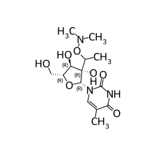 Cc1cn([C@@H]2O[C@H](CO)[C@@H](O)[C@@]2(O)C(C)ON(C)C)c(=O)[nH]c1=O